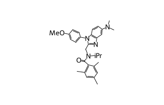 COc1ccc(-n2c(CN(C(=O)c3c(C)cc(C)cc3C)C(C)C)nc3cc(N(C)C)ccc32)cc1